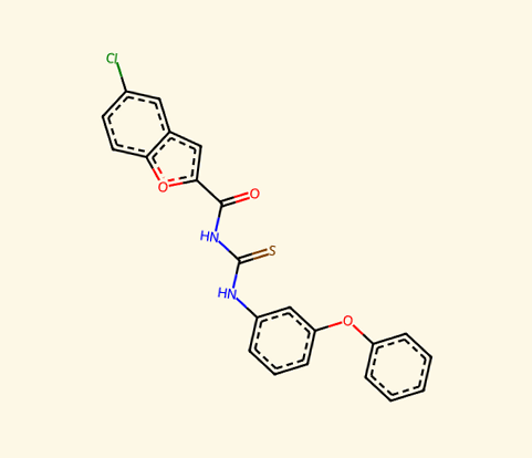 O=C(NC(=S)Nc1cccc(Oc2ccccc2)c1)c1cc2cc(Cl)ccc2o1